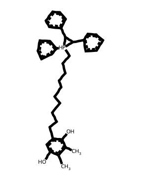 Cc1c(O)cc(CCCCCCCCCC[PH]2(c3ccccc3)C(c3ccccc3)C2c2ccccc2)c(O)c1C